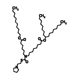 CCCCCCCCCCCOC(=O)CCCCCN(CCCCCCCC(=O)OC(CCCCCCCC)CCCCCCCC)C(=O)SCCN1CCCC1